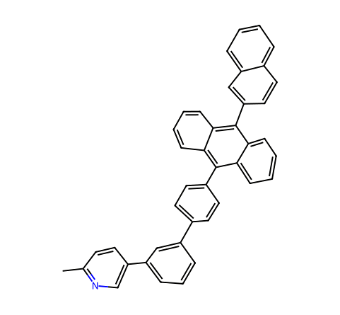 Cc1ccc(-c2cccc(-c3ccc(-c4c5ccccc5c(-c5ccc6ccccc6c5)c5ccccc45)cc3)c2)cn1